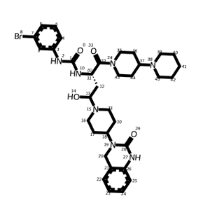 O=C(Nc1cccc(Br)c1)N[C@@H](CC(O)N1CCC(N2Cc3ccccc3NC2=O)CC1)C(=O)N1CCC(N2CCCCC2)CC1